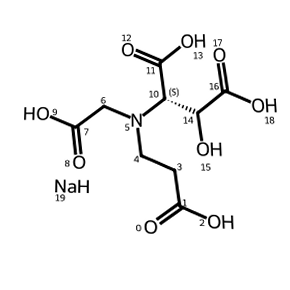 O=C(O)CCN(CC(=O)O)[C@H](C(=O)O)C(O)C(=O)O.[NaH]